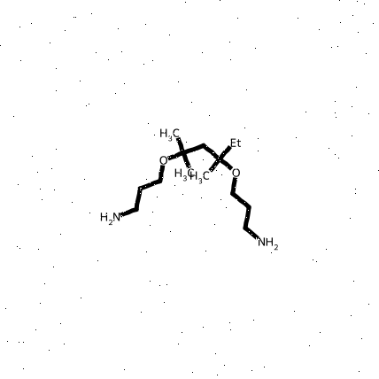 CCC(C)(CC(C)(C)OCCCN)OCCCN